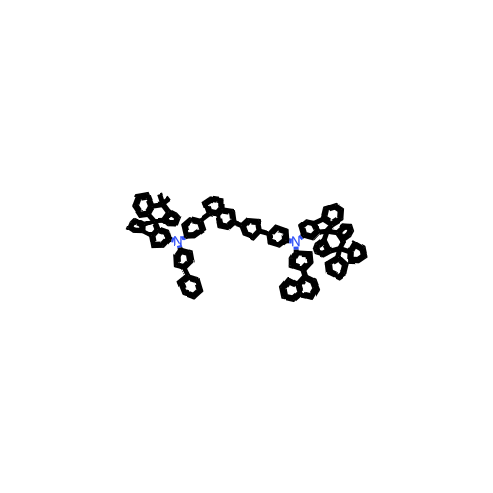 CC1(C)c2ccccc2C2(c3ccccc3-c3ccc(N(c4ccc(-c5ccccc5)cc4)c4ccc(-c5cccc6cc(-c7ccc(-c8ccc(N(c9ccc(-c%10cccc%11ccccc%10%11)cc9)c9ccc%10c(c9)C9(c%11ccccc%11-%10)c%10ccccc%10C(c%10ccccc%10)(c%10ccccc%10)c%10ccccc%109)cc8)cc7)ccc56)cc4)cc32)c2ccccc21